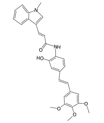 COc1cc(/C=C/c2ccc(NC(=O)/C=C/c3cn(C)c4ccccc34)c(O)c2)cc(OC)c1OC